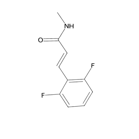 CNC(=O)C=Cc1c(F)cccc1F